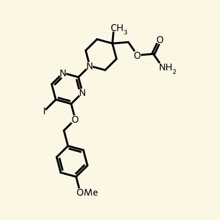 COc1ccc(COc2nc(N3CCC(C)(COC(N)=O)CC3)ncc2I)cc1